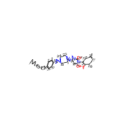 COc1ccc(N2CCN(c3cc(O)n(C4CCCCC4)c(=O)n3)CC2)cc1